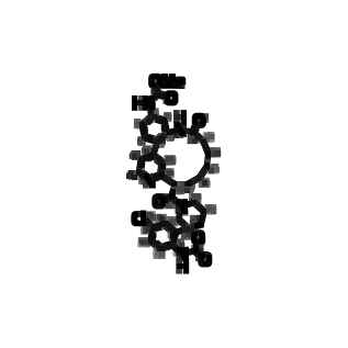 COC(=O)Nc1ccc2c(c1)NC(=O)CCCCC[C@@H](C(=O)N1CCC[C@@]3(C1)OC(=O)Nc1ccc(Cl)cc13)c1cc-2ccn1